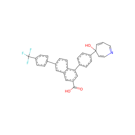 O=C(O)c1cc(-c2ccc(C3(O)C=CC=NC=C3)cc2)c2ccc(-c3ccc(C(F)(F)F)cc3)cc2c1